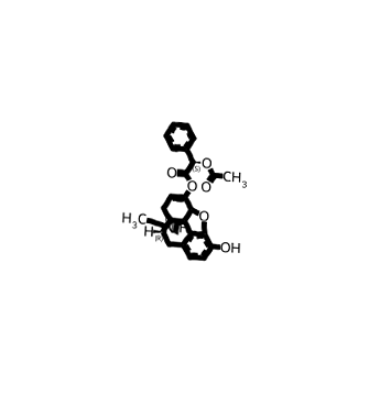 CC(=O)O[C@H](C(=O)OC1=CC[C@@]2(O)[C@H]3Cc4ccc(O)c5c4C2(CCN3C)C1O5)c1ccccc1